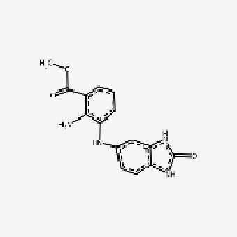 COC(=O)c1cccc(Nc2ccc3[nH]c(=O)[nH]c3c2)c1N